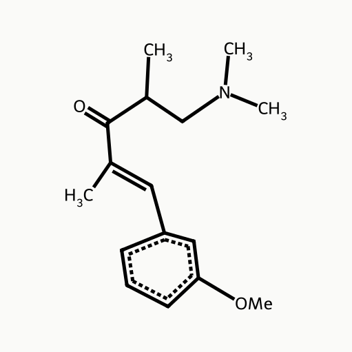 COc1cccc(/C=C(\C)C(=O)C(C)CN(C)C)c1